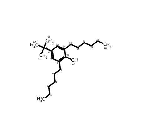 CCCCCCc1cc(C(C)(C)C)cc(CCCCCC)c1O